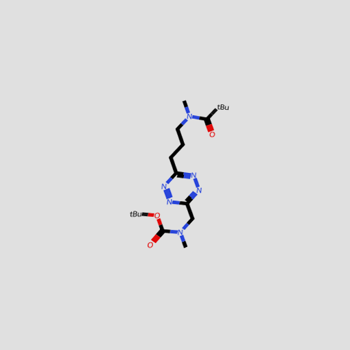 CN(Cc1nnc(CCCN(C)C(=O)C(C)(C)C)nn1)C(=O)OC(C)(C)C